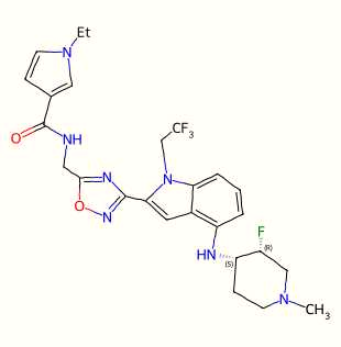 CCn1ccc(C(=O)NCc2nc(-c3cc4c(N[C@H]5CCN(C)C[C@H]5F)cccc4n3CC(F)(F)F)no2)c1